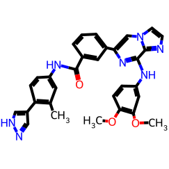 COc1ccc(Nc2nc(-c3cccc(C(=O)Nc4ccc(-c5cn[nH]c5)c(C)c4)c3)cn3ccnc23)cc1OC